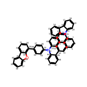 c1cc(-c2ccccc2-n2c3ccccc3c3ccccc32)cc(N(c2ccc(-c3cccc4c3oc3ccccc34)cc2)c2ccccc2-c2ccc3ccccc3c2)c1